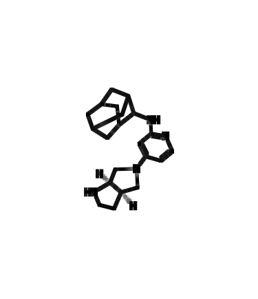 c1cc(N2C[C@H]3CCN[C@H]3C2)cc(NC2C3CC4CC(C3)CC2C4)n1